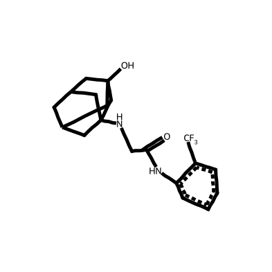 O=C(CNC12CC3CC(CC(O)(C3)C1)C2)Nc1ccccc1C(F)(F)F